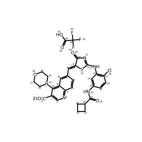 CCOC(=O)c1cnc2ccc(/C=C3\SC(Nc4cc(NC(=O)C5CCC5)ccc4Cl)=NC3=O)cc2c1N1CCOCC1.O=C(O)C(F)(F)F